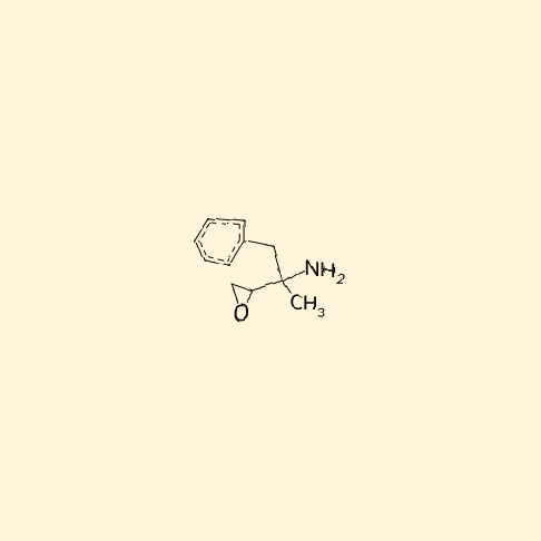 CC(N)(Cc1ccccc1)C1CO1